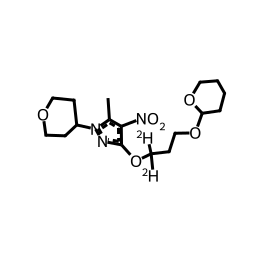 [2H]C([2H])(CCOC1CCCCO1)Oc1nn(C2CCOCC2)c(C)c1[N+](=O)[O-]